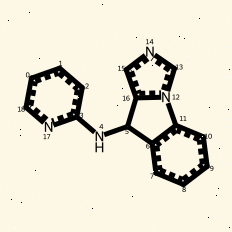 c1ccc(NC2c3ccccc3-n3cncc32)nc1